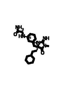 CN1C(=N)N[C@](CCC2CCCCC2)(CC2CCC[C@@H](NCC(N)=O)C2)C1=O